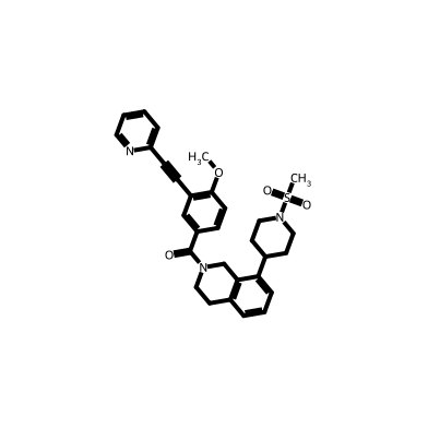 COc1ccc(C(=O)N2CCc3cccc(C4CCN(S(C)(=O)=O)CC4)c3C2)cc1C#Cc1ccccn1